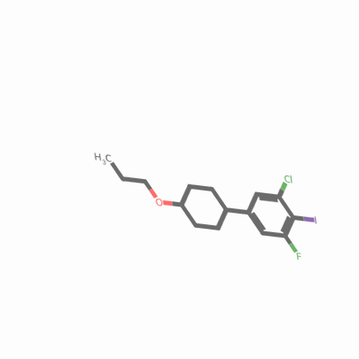 CCCOC1CCC(c2cc(F)c(I)c(Cl)c2)CC1